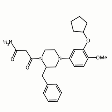 COc1ccc(N2CCN(C(=O)CC(N)=O)C(Cc3ccccc3)C2)cc1OC1CCCC1